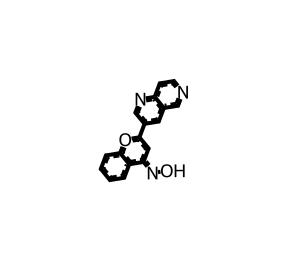 O/N=c1\cc(-c2cnc3ccncc3c2)oc2ccccc12